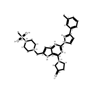 Cc1cccc(-c2ccn(-c3nc(N4CCC(=O)C4)c4sc(CN5CCN(S(C)(=O)=O)CC5)cc4n3)n2)c1